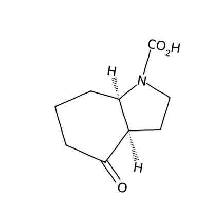 O=C1CCC[C@@H]2[C@H]1CCN2C(=O)O